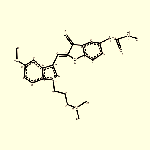 CNC(=O)Nc1ccc2c(c1)C(=O)/C(=C/c1cn(CCCN(C)C)c3ccc(OC)cc13)O2